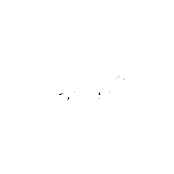 C=CC(=O)NCCOP(=O)(O)OCC[N+](C)(C)C